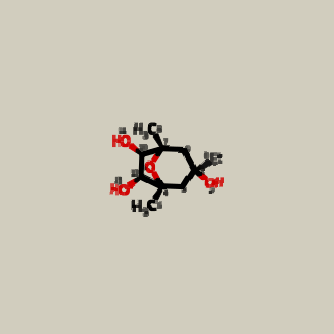 CC[C@@]1(O)C[C@@]2(C)O[C@@](C)(C1)[C@H](O)[C@@H]2O